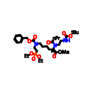 CCCC(=O)N(CCNC(=O)OC(C)(C)C)[C@H](CCCCN(CCP(=O)(OCC)OCC)C(=O)OCc1ccccc1)C(=O)OC